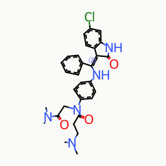 CN(C)CCC(=O)N(CC(=O)N(C)C)c1ccc(N/C(=C2\C(=O)Nc3cc(Cl)ccc32)c2ccccc2)cc1